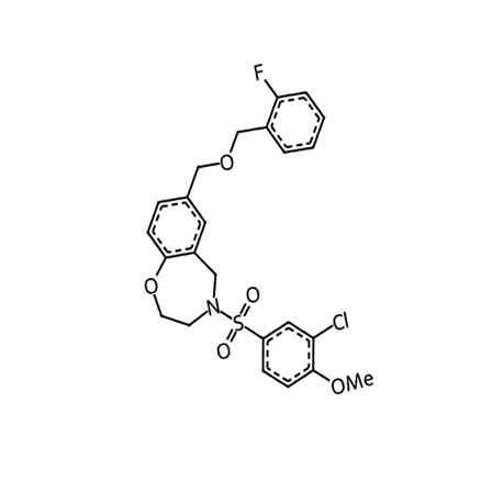 COc1ccc(S(=O)(=O)N2CCOc3ccc(COCc4ccccc4F)cc3C2)cc1Cl